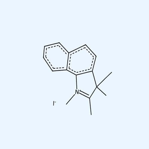 CC1=[N+](C)c2c(ccc3ccccc23)C1(C)C.[I-]